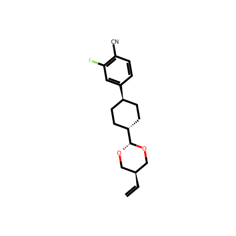 C=C[C@H]1CO[C@H]([C@H]2CC[C@H](c3ccc(C#N)c(F)c3)CC2)OC1